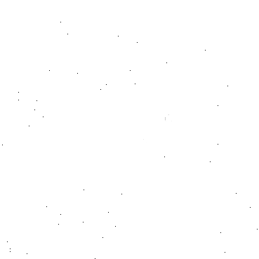 C=CCCC(=O)C(c1ccccc1)c1ccccc1